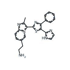 Cc1nc2ccc(CCN)cn2c1-c1nc(-c2ccccc2)c(-c2ncc[nH]2)s1